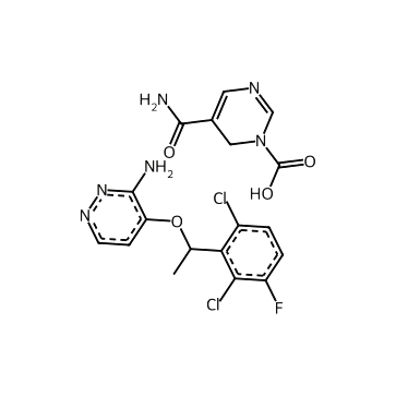 CC(Oc1ccnnc1N)c1c(Cl)ccc(F)c1Cl.NC(=O)C1=CN=CN(C(=O)O)C1